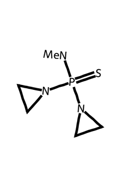 CNP(=S)(N1CC1)N1CC1